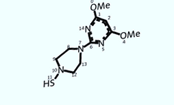 COc1cc(OC)nc(N2CCN(S)CC2)n1